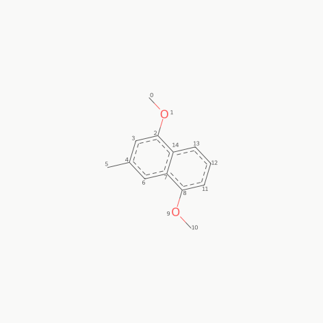 COc1cc(C)cc2c(OC)cccc12